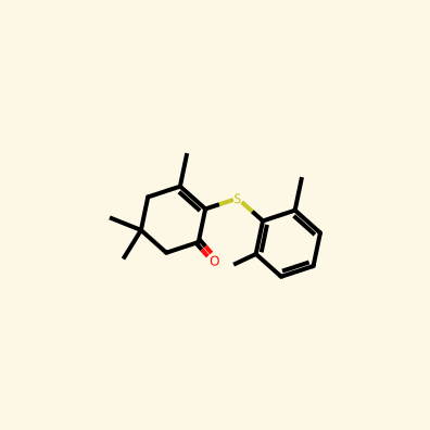 CC1=C(Sc2c(C)cccc2C)C(=O)CC(C)(C)C1